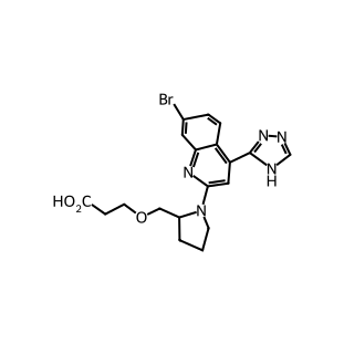 O=C(O)CCOCC1CCCN1c1cc(-c2nnc[nH]2)c2ccc(Br)cc2n1